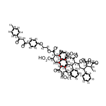 CCCCCCCCNC(=O)C(C(CC(c1ccccc1)C1C(=O)OC(=O)C1C)C(=O)O)C(CC1C(=O)N(CCCCCCCC)C(=O)C1C(CC(C(=O)O)C(C(=O)OCCOc1ccc(C(=O)CC(=O)c2ccc(C)cc2)cc1)C(CC)c1ccccc1)c1ccccc1)c1ccccc1